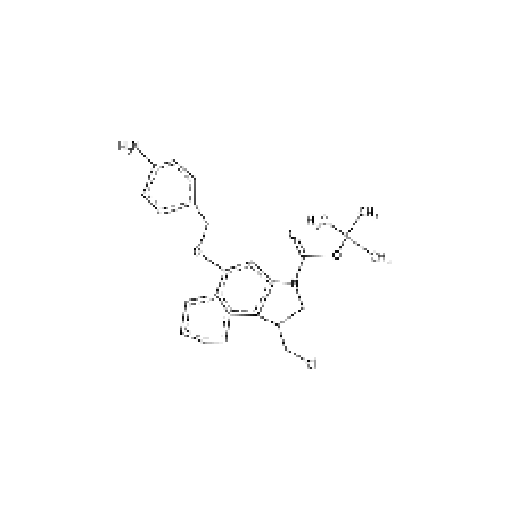 CC(C)(C)OC(=O)N1CC(CCl)c2c1cc(OCc1ccc(N)cc1)c1ccccc21